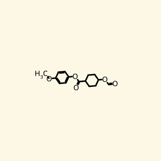 COc1ccc(OC(=O)C2CCC(OC=O)CC2)cc1